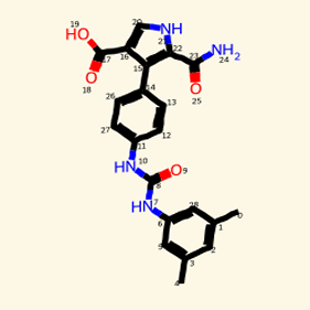 Cc1cc(C)cc(NC(=O)Nc2ccc(-c3c(C(=O)O)c[nH]c3C(N)=O)cc2)c1